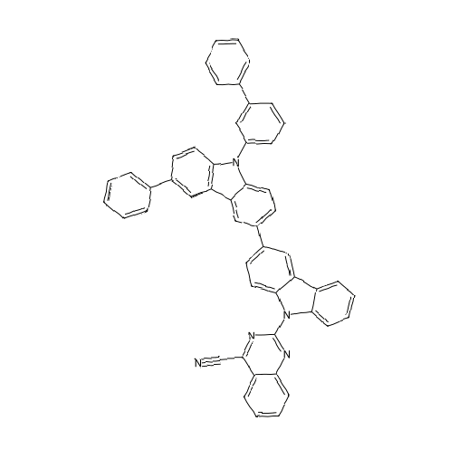 N#Cc1nc(-n2c3ccccc3c3cc(-c4ccc5c(c4)c4cc(-c6ccccc6)ccc4n5-c4cccc(-c5ccccc5)c4)ccc32)nc2ccccc12